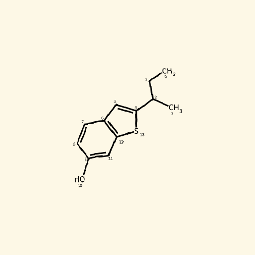 CCC(C)c1cc2ccc(O)cc2s1